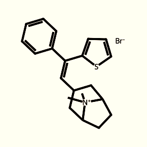 C[N+]1(C)C2CCC1CC(C=C(c1ccccc1)c1cccs1)C2.[Br-]